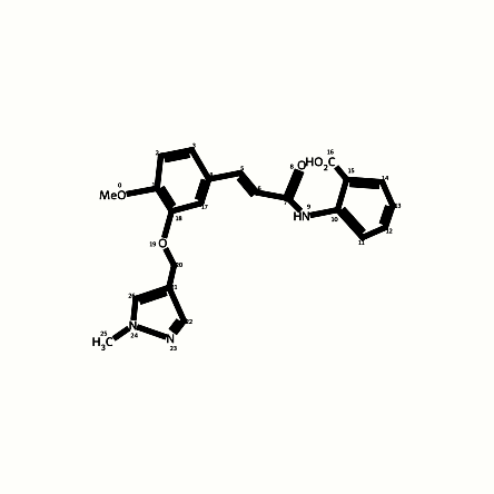 COc1ccc(C=CC(=O)Nc2ccccc2C(=O)O)cc1OCc1cnn(C)c1